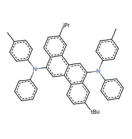 Cc1ccc(N(c2ccccc2)c2cc3c4cc(C(C)C)ccc4c(N(c4ccccc4)c4ccc(C)cc4)cc3c3ccc(C(C)(C)C)cc23)cc1